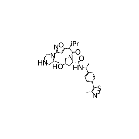 Cc1ncsc1-c1ccc([C@H](C)NC(=O)[C@@H]2C[C@@H](O)CN2C(=O)[C@@H](c2cc(N3CCNC[C@@H]3C)no2)C(C)C)cc1